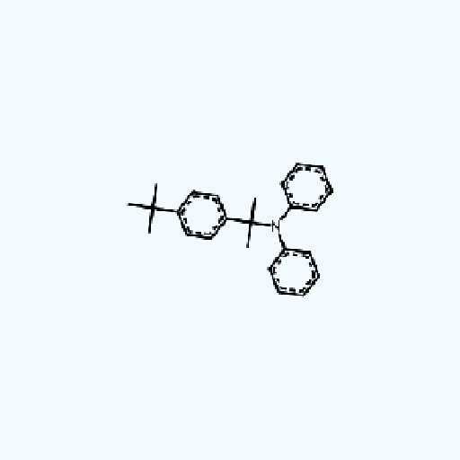 CC(C)(C)c1ccc(C(C)(C)N(c2ccccc2)c2ccccc2)cc1